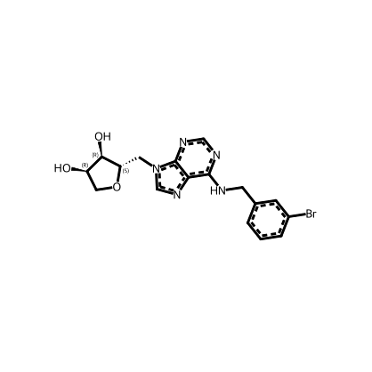 O[C@@H]1[C@H](O)CO[C@H]1Cn1cnc2c(NCc3cccc(Br)c3)ncnc21